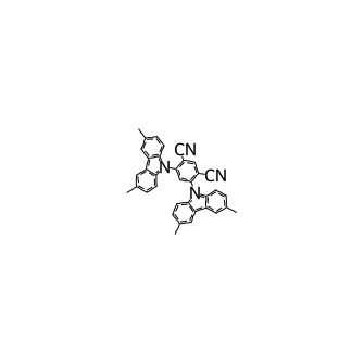 Cc1ccc2c(c1)c1cc(C)ccc1n2-c1cc(-n2c3ccc(C)cc3c3cc(C)ccc32)c(C#N)cc1C#N